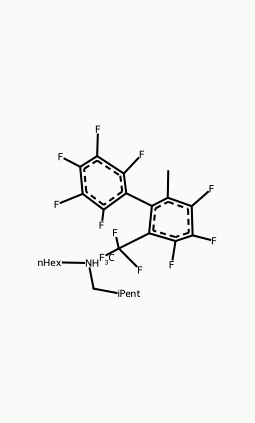 CCCCCCNCC(C)CCC.Cc1c(F)c(F)c(F)c(C(F)(F)C(F)(F)F)c1-c1c(F)c(F)c(F)c(F)c1F